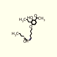 CCCC[C@H]1O[C@@H]1/C=C\CCCCOc1ccc(C(C)=O)c(O)c1CCC